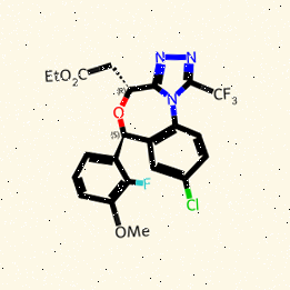 CCOC(=O)C[C@H]1O[C@H](c2cccc(OC)c2F)c2cc(Cl)ccc2-n2c1nnc2C(F)(F)F